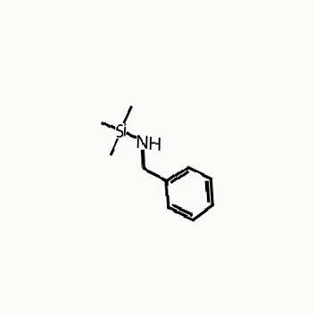 C[Si](C)(C)NCc1ccccc1